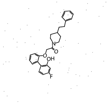 O=C(COc1ccccc1-c1ccc(F)cc1O)N1CCC(CCc2ccccc2)CC1